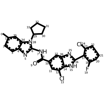 Cc1ccc2nc(NC(=O)c3cc(Cl)c4[nH]c(-c5c(F)cccc5Cl)nc4c3)n(C3CCCC3)c2c1